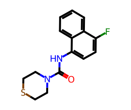 O=C(Nc1ccc(F)c2ccccc12)N1CCSCC1